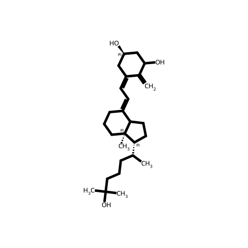 C=C1C(=CC=C2CCC[C@@]3(C)C2CC[C@@H]3C(C)CCCC(C)(C)O)C[C@@H](O)CC1O